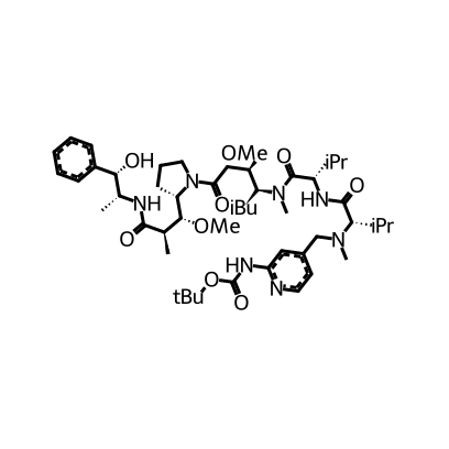 CC[C@H](C)[C@@H]([C@@H](CC(=O)N1CCC[C@H]1[C@H](OC)[C@@H](C)C(=O)N[C@H](C)[C@@H](O)c1ccccc1)OC)N(C)C(=O)[C@@H](NC(=O)[C@H](C(C)C)N(C)Cc1ccnc(NC(=O)OC(C)(C)C)c1)C(C)C